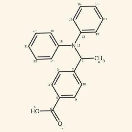 CC(c1ccc(C(=O)O)cc1)N(c1ccccc1)c1ccccc1